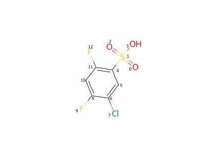 O=S(=O)(O)c1cc(Cl)c(F)cc1F